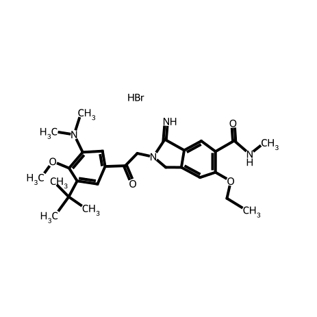 Br.CCOc1cc2c(cc1C(=O)NC)C(=N)N(CC(=O)c1cc(N(C)C)c(OC)c(C(C)(C)C)c1)C2